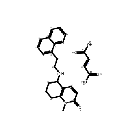 Cn1c2c(ccc1=O)C(NCCc1cccc3ccccc13)CCC2.O=C(O)/C=C/C(=O)O